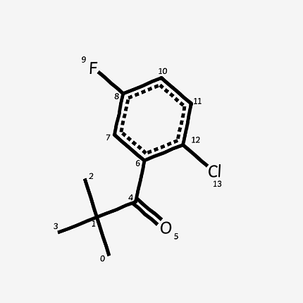 CC(C)(C)C(=O)c1cc(F)ccc1Cl